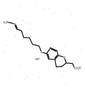 CCOC(=O)CC1CCc2cc(OCCCCCC=NN)ccc2O1.Cl